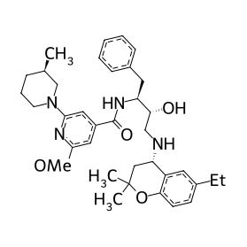 CCc1ccc2c(c1)[C@@H](NC[C@@H](O)[C@H](Cc1ccccc1)NC(=O)c1cc(OC)nc(N3CCC[C@@H](C)C3)c1)CC(C)(C)O2